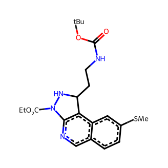 CCOC(=O)N1NC(CCNC(=O)OC(C)(C)C)c2c1ncc1ccc(SC)cc21